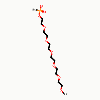 CC(C)OCCOCCOCCOCCOCCOCCOP(=O)(O)C(C)C